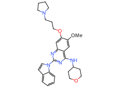 COc1cc2c(NC3CCOCC3)nc(-n3ccc4ccccc43)nc2cc1OCCCN1CCCC1